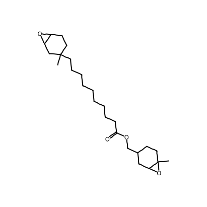 CC1(CCCCCCCCCC(=O)OCC2CCC3(C)OC3C2)CCC2OC2C1